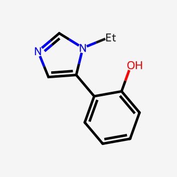 CCn1cncc1-c1ccccc1O